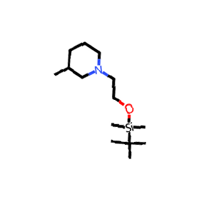 CC1CCCN(CCO[Si](C)(C)C(C)(C)C)C1